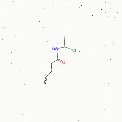 C=CCCC(=O)NC(C)Cl